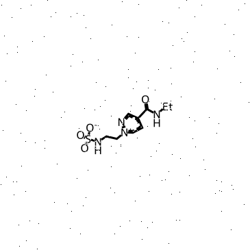 CCNC(=O)c1cc[n+](CCNS(=O)(=O)[O-])nc1